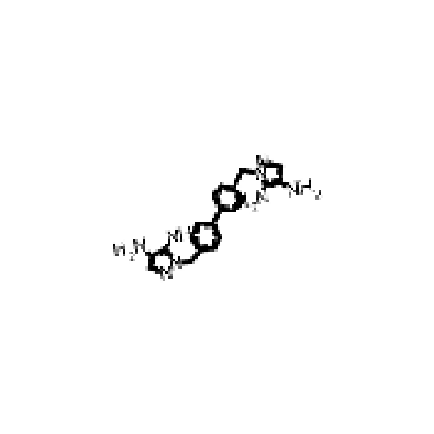 Nc1cnn(Cc2ccc(-c3ccc(Cn4ncc(N)c4N)cc3)cc2)c1N